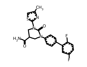 Cc1csc(N2CC(C(N)=O)CN(c3ccc(-c4cc(F)ccc4F)cc3)C2=O)n1